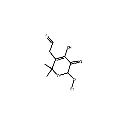 CCOC1OC(C)(C)C(SC=S)=C(S)C1=O